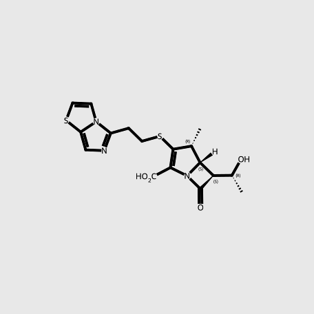 C[C@@H](O)[C@H]1C(=O)N2C(C(=O)O)=C(SCCc3ncc4sccn34)[C@H](C)[C@H]12